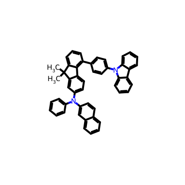 CC1(C)c2cc(N(c3ccccc3)c3ccc4ccccc4c3)ccc2-c2c(-c3ccc(-n4c5ccccc5c5ccccc54)cc3)cccc21